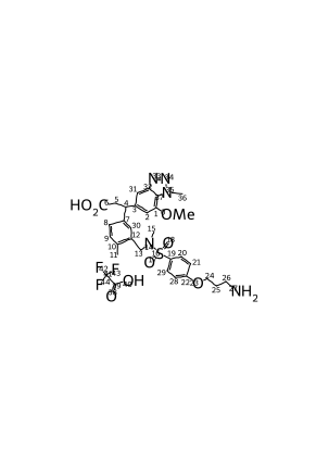 COc1cc(C(CC(=O)O)c2ccc(C)c(CN(C)S(=O)(=O)c3ccc(OCCCN)cc3)c2)cc2nnn(C)c12.O=C(O)C(F)(F)F